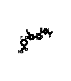 N#Cc1cc(-c2ncnc(Nc3cnn(C(F)F)c3)n2)ccc1OC1CCN(C(=O)CO)CC[C@H]1F